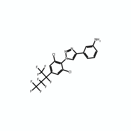 Nc1cccc(-c2cn(-c3c(Cl)cc(C(F)(C(F)(F)F)C(F)(F)C(F)(F)F)cc3Cl)nn2)c1